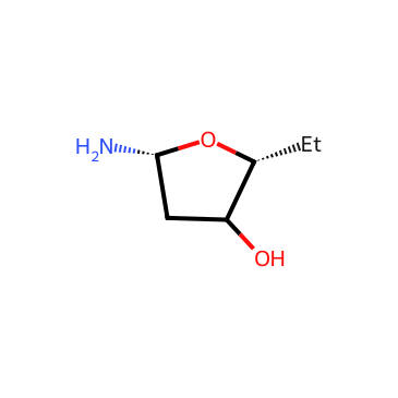 CC[C@H]1O[C@@H](N)CC1O